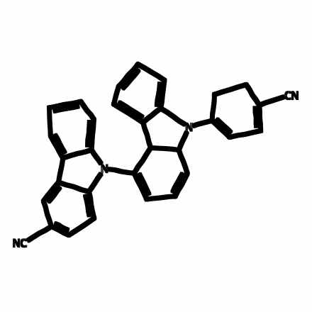 N#CC1=CC=C(N2c3ccccc3C3C(n4c5ccccc5c5cc(C#N)ccc54)=CC=CC32)CC1